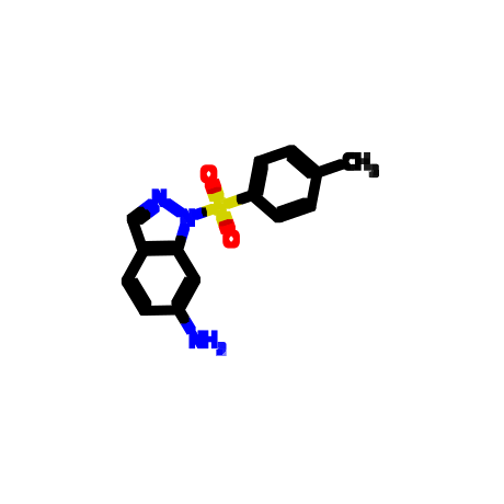 Cc1ccc(S(=O)(=O)n2ncc3ccc(N)cc32)cc1